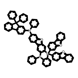 c1ccc(N(c2ccc3c(c2)C(c2ccccc2)(c2ccccc2)c2ccccc2-3)c2ccc3c(c2)oc2cc4c(cc23)N(c2ccccc2)c2ccccc2[Si]4(c2ccc3c(c2)oc2ccccc23)c2ccc3c(c2)oc2ccccc23)cc1